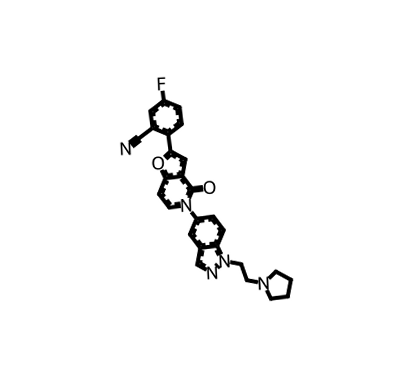 N#Cc1cc(F)ccc1-c1cc2c(=O)n(-c3ccc4c(cnn4CCN4CCCC4)c3)ccc2o1